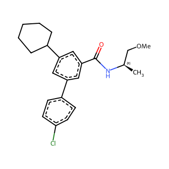 COC[C@@H](C)NC(=O)c1cc(-c2ccc(Cl)cc2)cc(C2CCCCC2)c1